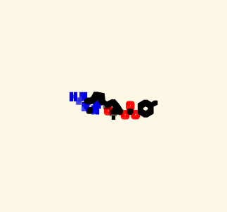 C[C@]12O[C@@H](c3ccc4c(N)ncnn34)CC1C2OC(=O)O[C@H]1CC[C@H](C)CC1